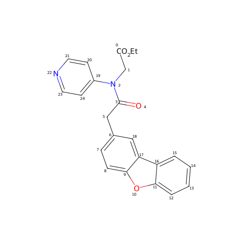 CCOC(=O)CN(C(=O)Cc1ccc2oc3ccccc3c2c1)c1ccncc1